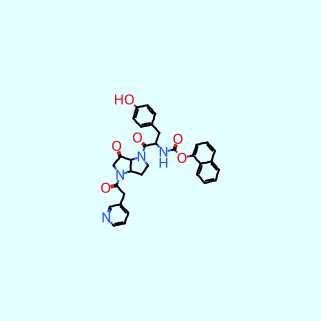 O=C(NC(Cc1ccc(O)cc1)C(=O)N1CCC2C1C(=O)CN2C(=O)Cc1cccnc1)Oc1cccc2ccccc12